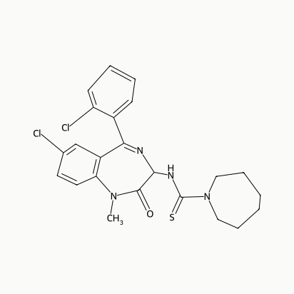 CN1C(=O)C(NC(=S)N2CCCCCC2)N=C(c2ccccc2Cl)c2cc(Cl)ccc21